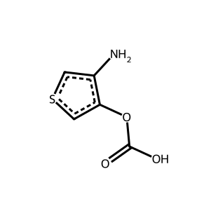 Nc1cscc1OC(=O)O